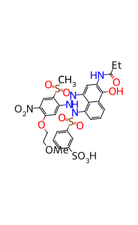 CCC(=O)Nc1cc(/N=N/c2cc(OCCOC)c([N+](=O)[O-])cc2S(C)(=O)=O)c2c(NS(=O)(=O)c3cccc(S(=O)(=O)O)c3)cccc2c1O